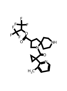 Cc1cccnc1C1(C(=O)N2CC(C(=O)OC(C(F)(F)F)C(F)(F)F)CC23CCNCC3)CC1